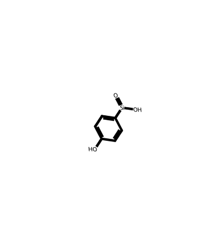 O=[Si](O)c1ccc(O)cc1